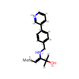 CN/C=C(\NCc1ccc(-c2cccnc2)cc1)C(C)(C)O